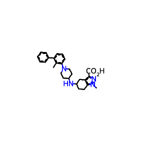 Cc1c(-c2ccccc2)cccc1N1CCC(NC2CCc3c(c(C(=O)O)nn3C)C2)CC1